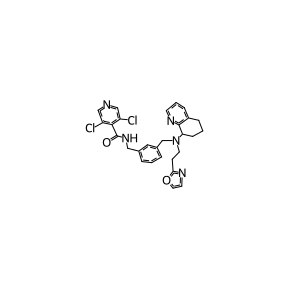 O=C(NCc1cccc(CN(CCc2ncco2)C2CCCc3cccnc32)c1)c1c(Cl)cncc1Cl